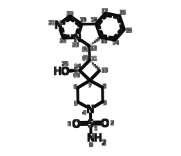 NS(=O)(=O)N1CCC2(CC1)C[C@@H]([C@H]1c3ccccc3-c3cncn31)[C@@H]2O